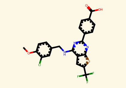 COc1ccc(CNc2nc(-c3ccc(C(=O)O)cc3)nc3sc(C(F)(F)F)cc23)cc1Cl